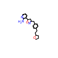 Nc1ncccc1C1CC(Cc2ccc(CCC3CCCO3)cc2)=NO1